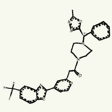 Cc1nnc([C@@H](c2ccccc2)N2CCN(C(=O)Cc3cc(-c4nc5cc(C(F)(F)F)ccc5o4)ccn3)CC2)o1